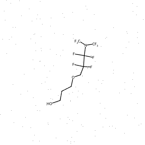 OCCCOCC(F)(F)C(F)(F)N(C(F)(F)F)C(F)(F)F